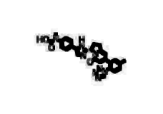 Cc1ccc(-n2cnnn2)c(-c2cc3n(c(=O)c2)[C@H](c2ncc(-c4ccc(N(C)C(=O)O)cc4)[nH]2)CC3)c1